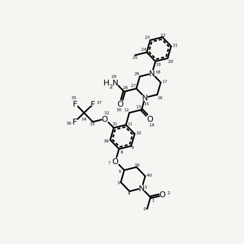 CC(=O)N1CCC(Oc2ccc(CC(=O)N3CCN(c4ccccc4C)CC3C(N)=O)c(OCC(F)(F)F)c2)CC1